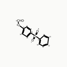 O=[C]Oc1ccc(S(=O)(=O)c2ccccc2)cc1